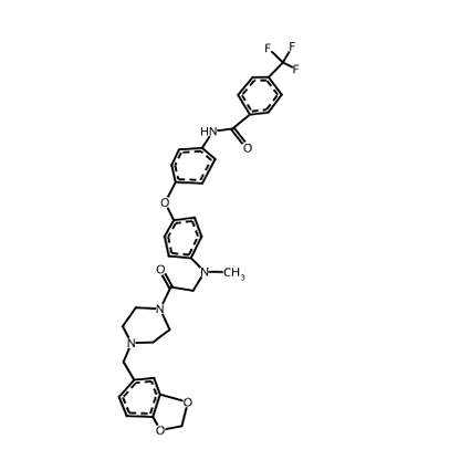 CN(CC(=O)N1CCN(Cc2ccc3c(c2)OCO3)CC1)c1ccc(Oc2ccc(NC(=O)c3ccc(C(F)(F)F)cc3)cc2)cc1